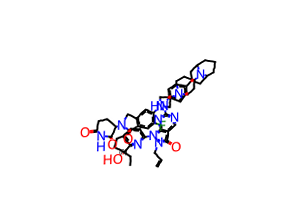 C=CCn1c(=O)c2cnc(Nc3ccc(C4CC5CCCC(C4)N5C4CCN(C5CN(c6cc7c(cc6F)C(=O)N(C6CCC(=O)NC6=O)C7)C5)CC4)cc3)nc2n1-c1ccc2c(n1)[C@@](O)(CC)CC2